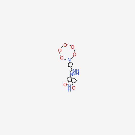 O=C1NC(=O)c2ccc(N3C=C(c4ccc(N5CCOCCOCCOCCOCCOCC5)cc4)NN3)c3cccc1c23